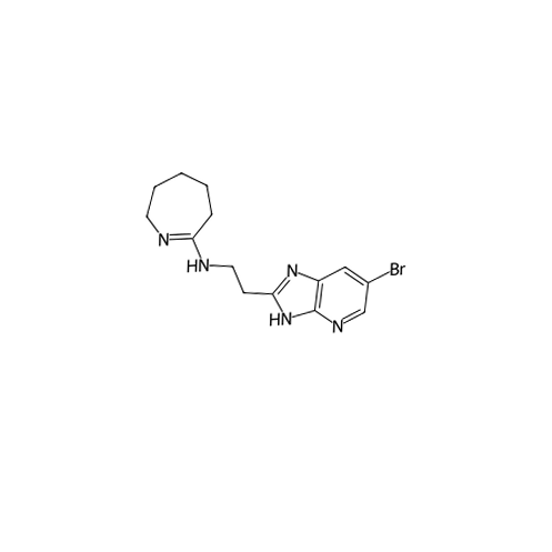 Brc1cnc2[nH]c(CCNC3=NCCCCC3)nc2c1